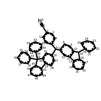 N#Cc1ccc(C(c2ccc3c(c2)-c2ccccc2C3c2ccccc2)c2ccc3c(c2)C(c2ccccc2)(c2ccccc2)c2ccccc2-3)cc1